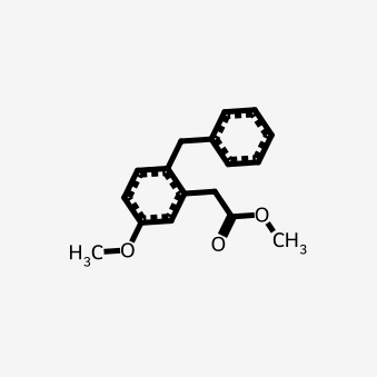 COC(=O)Cc1cc(OC)ccc1Cc1ccccc1